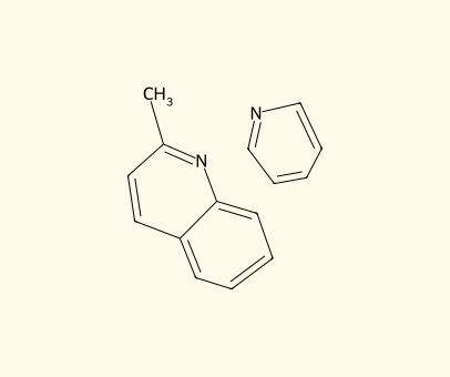 Cc1ccc2ccccc2n1.c1ccncc1